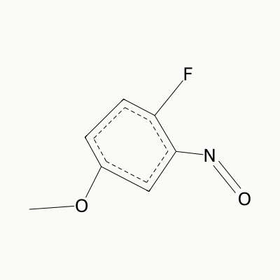 COc1ccc(F)c(N=O)c1